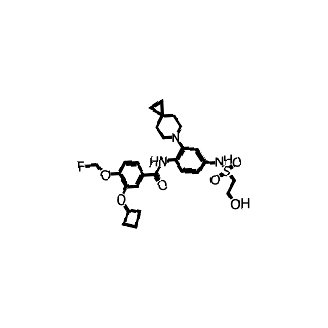 O=C(Nc1ccc(NS(=O)(=O)CCO)cc1N1CCC2(CC1)CC2)c1ccc(OCF)c(OC2CCC2)c1